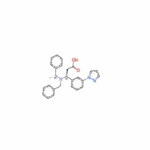 C[C@H](c1ccccc1)N(Cc1ccccc1)[C@@H](CC(=O)O)c1cccc(-n2cccn2)c1